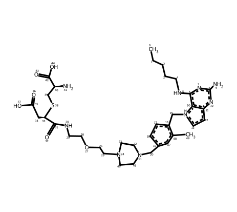 CCCCCNc1nc(N)nc2ccn(Cc3ccc(CN4CCN(CCOCCNC(=O)[C@@H](CC(=O)O)SC[C@H](N)C(=O)O)CC4)cc3C)c12